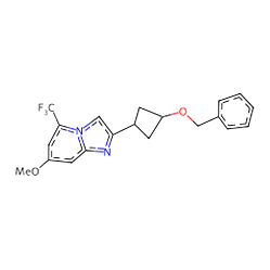 COc1cc(C(F)(F)F)n2cc(C3CC(OCc4ccccc4)C3)nc2c1